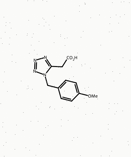 COc1ccc(Cn2nnnc2CC(=O)O)cc1